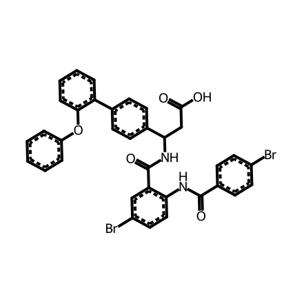 O=C(O)CC(NC(=O)c1cc(Br)ccc1NC(=O)c1ccc(Br)cc1)c1ccc(-c2ccccc2Oc2ccccc2)cc1